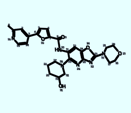 Cc1cc(-c2ccc(C(=O)Nc3cc4oc(N5CCOCC5)nc4nc3N3CCCC(O)C3)o2)ccn1